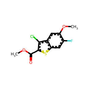 COC(=O)c1sc2cc(F)c(OC)cc2c1Cl